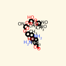 CC1O[C@@H](O[C@H]2C(O)C[C@H](O[C@H]3C(N=O)C[C@H](O[C@H]4CC[C@]5(C)C6C[C@@](N)(N=O)[C@]7(C)[C@@H](C8=CC(=O)OC8)CC[C@]7(O)[C@]6(N)CC[C@]5(C)C4)OC3C)OC2C)CC(N=O)[C@@H]1N=O